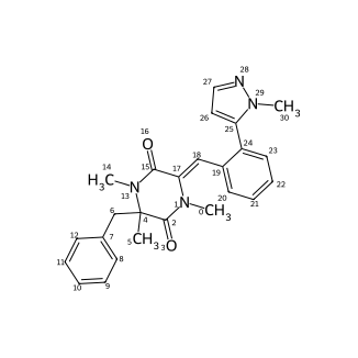 CN1C(=O)C(C)(Cc2ccccc2)N(C)C(=O)C1=Cc1ccccc1-c1ccnn1C